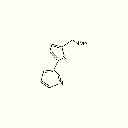 CNCc1ccc(-c2cccnc2)s1